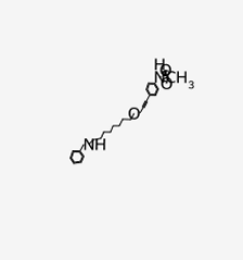 CS(=O)(=O)Nc1ccc(C#CCOCCCCCCCCNCc2ccccc2)cc1